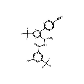 C[C@H](NC(=O)c1cc(Cl)cc(C(F)(F)F)c1)c1nc(C(F)(F)F)nn1-c1ccc(C#N)cn1